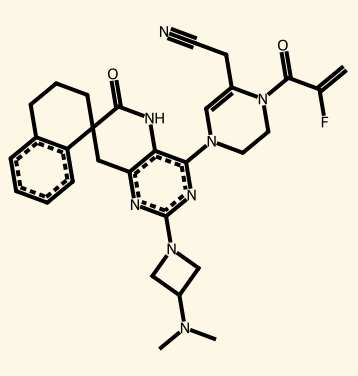 C=C(F)C(=O)N1CCN(c2nc(N3CC(N(C)C)C3)nc3c2NC(=O)C2(CCCc4ccccc42)C3)C=C1CC#N